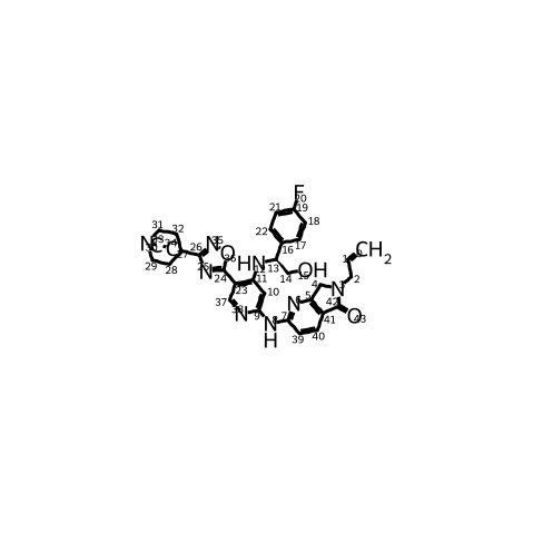 C=CCN1Cc2nc(Nc3cc(N[C@H](CO)c4ccc(F)cc4)c(-c4nc(C56CCN(CC5)CC6)no4)cn3)ccc2C1=O